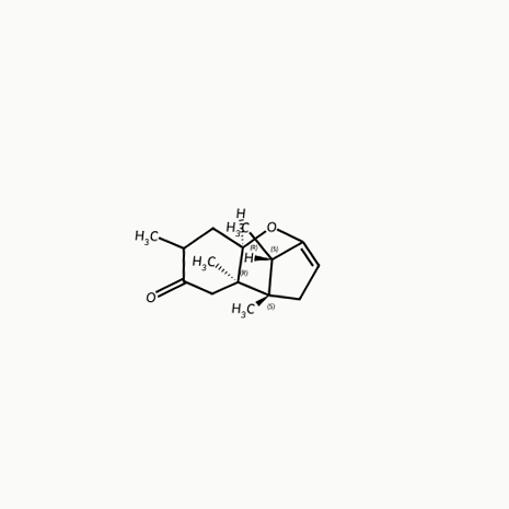 CC1C[C@H]2OC3=CC[C@@](C)([C@@H]3C)[C@@]2(C)CC1=O